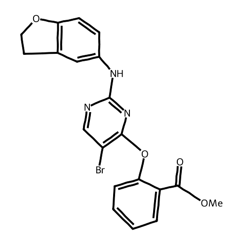 COC(=O)c1ccccc1Oc1nc(Nc2ccc3c(c2)CCO3)ncc1Br